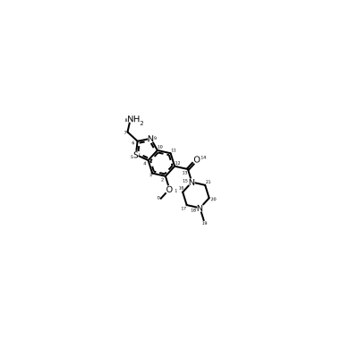 COc1cc2sc(CN)nc2cc1C(=O)N1CCN(C)CC1